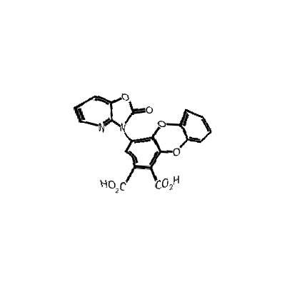 O=C(O)c1cc(-n2c(=O)oc3cccnc32)c2c(c1C(=O)O)Oc1ccccc1O2